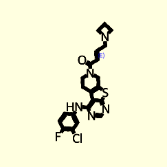 O=C(/C=C/CN1CCC1)N1CCc2c(sc3ncnc(Nc4ccc(F)c(Cl)c4)c23)C1